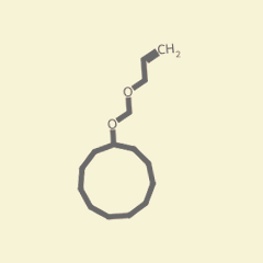 C=CCOCOC1CCCCCCCCCC1